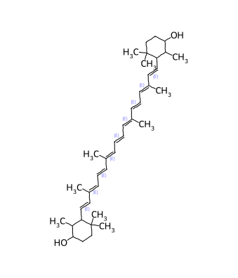 CC(/C=C/C=C(C)/C=C/C1C(C)C(O)CCC1(C)C)=C\C=C\C=C(C)\C=C\C=C(C)\C=C\C1C(C)C(O)CCC1(C)C